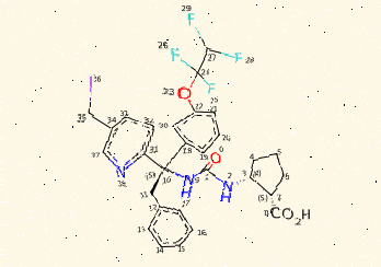 O=C(N[C@@H]1CCC[C@@H]1C(=O)O)N[C@@](Cc1ccccc1)(c1cccc(OC(F)(F)C(F)F)c1)c1ccc(CI)cn1